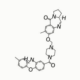 Cc1ccc(Oc2ccc(C(=O)N3CCN(COc4cc5c(cc4C)C(=O)N4CCC[C@H]4C=N5)CC3)cc2N)cc1